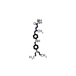 CCCN(CCC)c1ccc(CNc2ccc(/C=C(C)/C=C/C(=O)NO)cc2)cc1